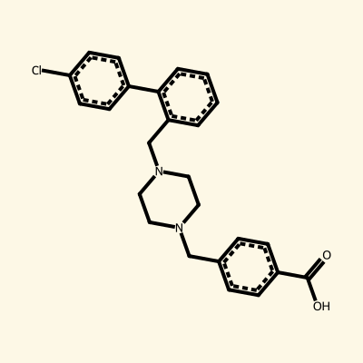 O=C(O)c1ccc(CN2CCN(Cc3ccccc3-c3ccc(Cl)cc3)CC2)cc1